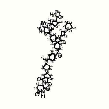 Cc1cc(F)c(Nc2nc(-c3ccc4c(c3)N(C3CC(N5CCCCC5)C3)C(=O)C43CCN(C(=O)c4ccc(N(C)C5CCN(c6ccc7c(c6)C(=O)N(C6CCC(=O)NC6=O)C7=O)CC5)cc4)CC3)cc3ncn(C(C)C)c23)cc1C(=O)NC(C)C